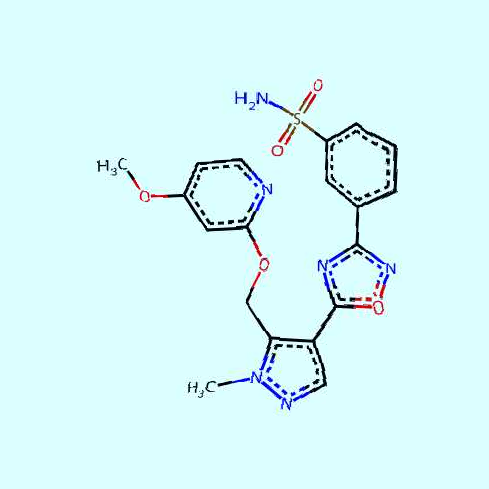 COc1ccnc(OCc2c(-c3nc(-c4cccc(S(N)(=O)=O)c4)no3)cnn2C)c1